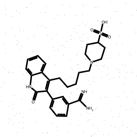 N=C(N)c1cccc(-c2c(CCCCCN3CCC(S(=O)(=O)O)CC3)c3ccccc3[nH]c2=O)c1